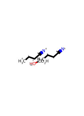 CCCC#N.CCCC#N.O=C(O)O